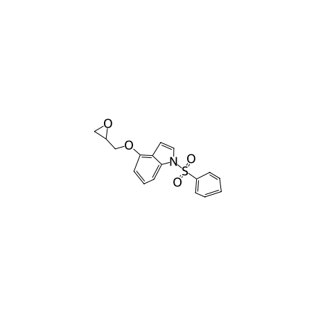 O=S(=O)(c1ccccc1)n1ccc2c(OCC3CO3)cccc21